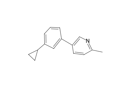 Cc1ccc(-c2cccc(C3CC3)c2)cn1